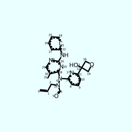 C=CCN(C=O)N(c1cccc(C2(O)COC2)n1)c1nc(Nc2ccccc2)ncc1C